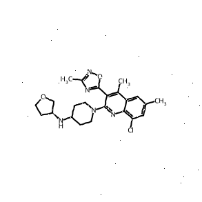 Cc1cc(Cl)c2nc(N3CCC(N[C@H]4CCOC4)CC3)c(-c3nc(C)no3)c(C)c2c1